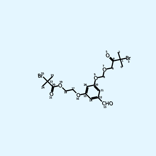 CC(C)(Br)C(=O)COCOc1cc(C=O)cc(OCCOC(=O)C(C)(C)Br)c1